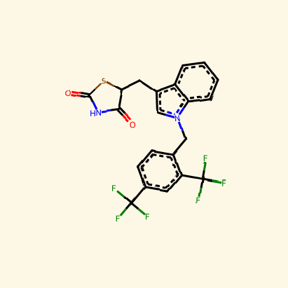 O=C1NC(=O)C(Cc2cn(Cc3ccc(C(F)(F)F)cc3C(F)(F)F)c3ccccc23)S1